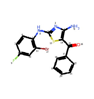 Nc1nc(Nc2ccc(F)cc2Br)sc1C(=O)c1ccccc1